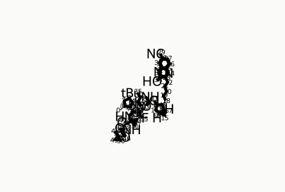 C[C@@H]1CCN(C(=O)C(NC(=O)OC2C[C@@H]3C[C@@H]3[C@H]2CCCCCc2nc3ccc(C#N)cc3nc2O)C(C)(C)C)[C@@H]1C(=O)NC1(C(=O)NS(=O)(=O)C2(C)CC2)C[C@H]1C(F)F